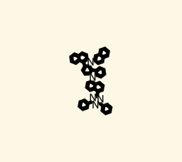 c1ccc(-c2nc(-c3ccccc3)nc(-c3cccc4c(-n5c6ccccc6c6c5ccc5c7c8ccccc8ccc7n(-c7ccc8ccccc8c7)c56)cccc34)n2)cc1